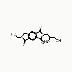 O=C1c2cc3c(cc2CN1CO)C(=O)N(CC(O)CO)C3=O